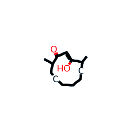 CC1CCCCCCC(C)/C(O)=C/C1=O